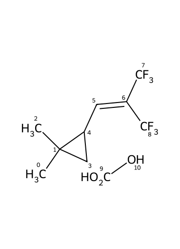 CC1(C)CC1C=C(C(F)(F)F)C(F)(F)F.O=C(O)O